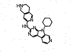 c1cc2c3cnc(Nc4cc5c(cn4)CCNC5)nc3n(C3CCCCC3)c2cn1